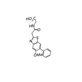 COc1cc2nc(CC(=O)NCC(=O)O)sc2cc1-c1ccccc1